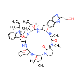 C=CC(C)(C)n1cc(C[C@@H]2NC(=O)[C@H](CC3CCC3)NC(=O)[C@H](CC(C)C)N3CCC[C@@H](C3=O)N(C)C(=O)[C@H](C)NC(=O)[C@H](Cc3ccc4nc(CCO)ncc4c3)NC(=O)[C@H](CC(C)C)N(C)C2=O)c2ccccc21